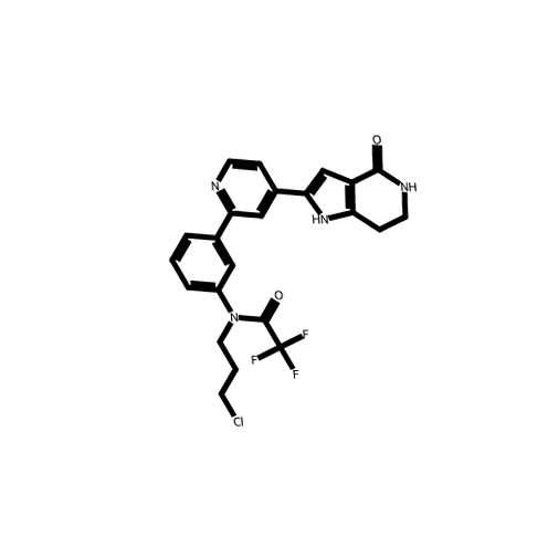 O=C1NCCc2[nH]c(-c3ccnc(-c4cccc(N(CCCCl)C(=O)C(F)(F)F)c4)c3)cc21